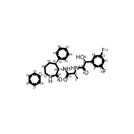 C[C@H](NC(=O)[C@@H](O)c1cc(F)cc(F)c1)C(=O)N[C@@H]1C(=O)N[C@H](c2ccccc2)CC[C@H]1c1ccccc1